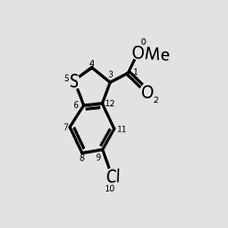 COC(=O)C1CSc2ccc(Cl)cc21